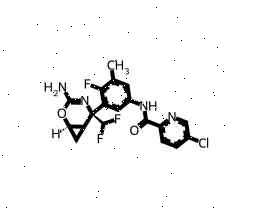 Cc1cc(NC(=O)c2ccc(Cl)cn2)cc([C@@]2(C(F)F)N=C(N)O[C@@H]3CC32)c1F